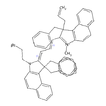 C=CCC1(Cc2ccccc2)C(/C=C/C=C2/N(CCC(C)C)c3ccc4ccccc4c3C2(Cc2ccccc2)Cc2ccccc2)=[N+](C)c2ccc3ccccc3c21